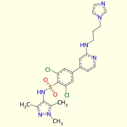 Cc1nn(C)c(C)c1NS(=O)(=O)c1c(Cl)cc(-c2ccnc(NCCCn3ccnc3)c2)cc1Cl